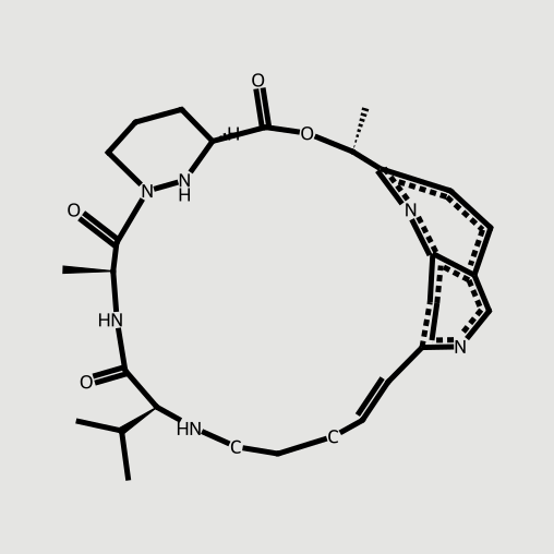 CC(C)[C@@H]1NCCC/C=C/c2cc3nc(ccc3cn2)[C@@H](C)OC(=O)[C@@H]2CCCN(N2)C(=O)[C@H](C)NC1=O